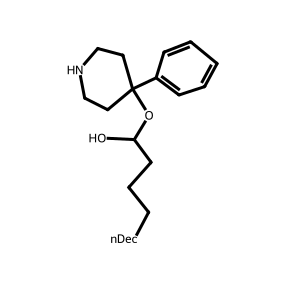 CCCCCCCCCCCCCC(O)OC1(c2ccccc2)CCNCC1